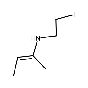 C/C=C(\C)NCCI